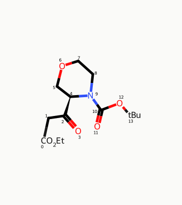 CCOC(=O)CC(=O)[C@H]1COCCN1C(=O)OC(C)(C)C